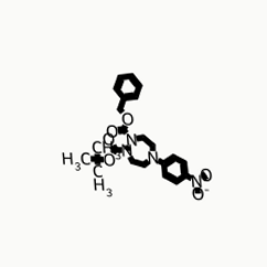 CC(C)(C)OC(=O)N1CCN(c2ccc([N+](=O)[O-])cc2)CCN1C(=O)OCc1ccccc1